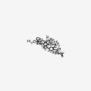 COC(C)(C)CNc1cc(NC(C(C)C)C(C)(C)O)nc2c(-c3ccc(C(=O)NC4CC4)c(C)c3)cnn12